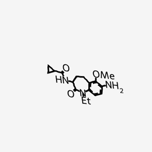 CCN1C(=O)C(NC(=O)C2CC2)CCc2c1ccc(N)c2OC